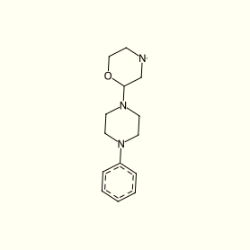 c1ccc(N2CCN(C3C[N]CCO3)CC2)cc1